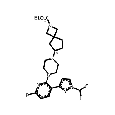 CCOC(=O)N1CC2(CC[C@@H](N3CCN(c4nc(F)ccc4-c4ccn(C(F)F)n4)CC3)C2)C1